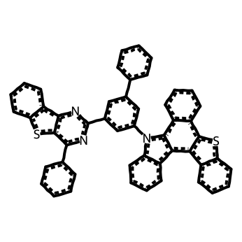 c1ccc(-c2cc(-c3nc(-c4ccccc4)c4sc5ccccc5c4n3)cc(-n3c4ccccc4c4c5c6ccccc6sc5c5ccccc5c43)c2)cc1